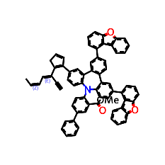 C#C/C(=C\C=C/C)C1=C(c2ccc3c(c2)-c2cc(-c4cccc5oc6ccccc6c45)ccc2-c2cc(-c4cccc5oc6ccccc6c45)ccc2N3c2ccc(-c3ccccc3)cc2C(=O)OC)C=CC1